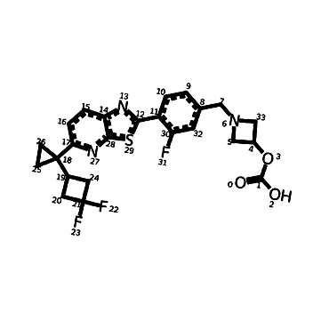 O=C(O)OC1CN(Cc2ccc(-c3nc4ccc(C5(C6CC(F)(F)C6)CC5)nc4s3)c(F)c2)C1